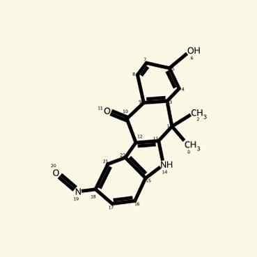 CC1(C)c2cc(O)ccc2C(=O)c2c1[nH]c1ccc(N=O)cc21